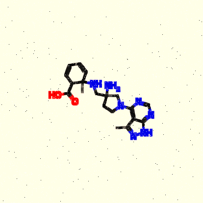 Cc1n[nH]c2ncnc(N3CCC(N)(CNC4(C)C=CC=CC4C(=O)O)C3)c12